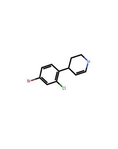 Clc1cc(Br)ccc1C1C=C[N]CC1